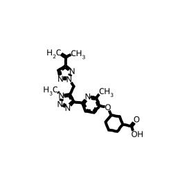 C=C(C)c1cnn(Cc2c(-c3ccc(OC4CCCC(C(=O)O)C4)c(C)n3)nnn2C)n1